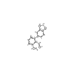 Cc1ncnc(-c2ccc3c(c2)OCO3)c1C=O